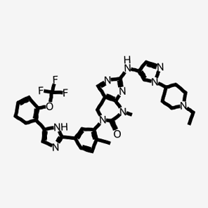 CCN1CCC(n2cc(Nc3ncc4c(n3)N(C)C(=O)N(c3cc(-c5ncc(C6=C(OC(F)(F)F)C=CCC6)[nH]5)ccc3C)C4)cn2)CC1